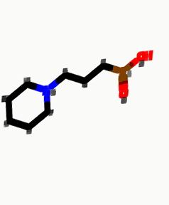 O=S(O)CCCN1CCCCC1